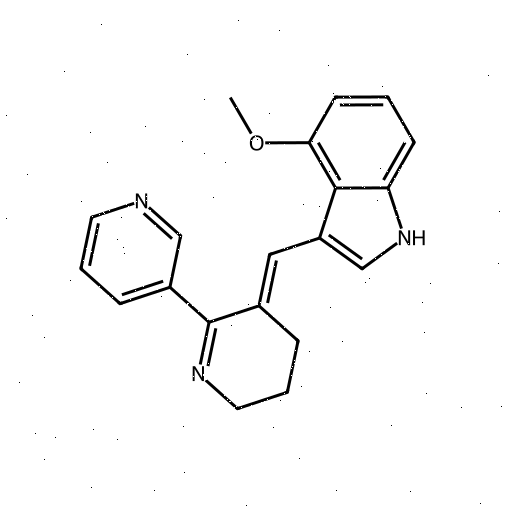 COc1cccc2[nH]cc(C=C3CCCN=C3c3cccnc3)c12